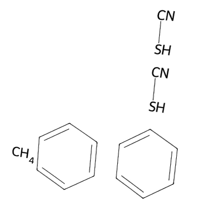 C.N#CS.N#CS.c1ccccc1.c1ccccc1